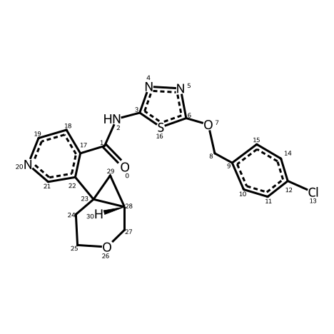 O=C(Nc1nnc(OCc2ccc(Cl)cc2)s1)c1ccncc1C12CCOC[C@H]1C2